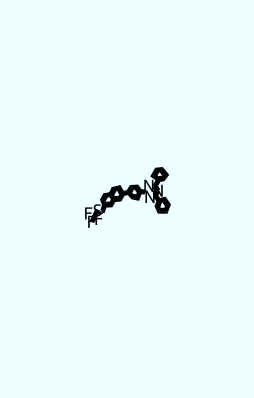 FC(F)(F)SCc1ccc2ccc(-c3ccc(-c4nc(-c5ccccc5)nc(-c5ccccc5)n4)cc3)cc2c1